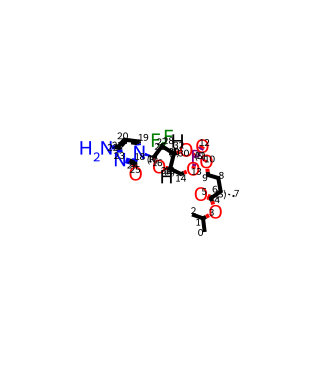 CC(C)OC(=O)[C@@H](C)CCO[P@@]1(=O)OC[C@H]2O[C@@H](n3ccc(N)nc3=O)C(F)(F)[C@@H]2O1